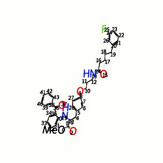 COC(=O)[C@H](Cc1ccc(OCCCNC(=O)CCCCc2cccc(F)c2)cc1)Nc1ccccc1C(=O)c1ccccc1